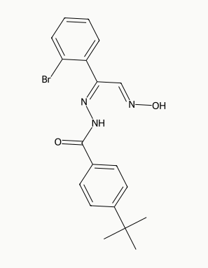 CC(C)(C)c1ccc(C(=O)NN=C(C=NO)c2ccccc2Br)cc1